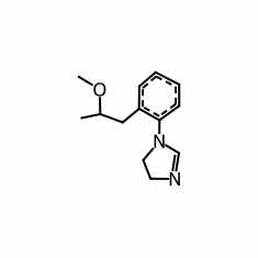 COC(C)Cc1ccccc1N1C=NCC1